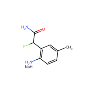 Cc1ccc(N)c(C(F)C(N)=O)c1.[NaH]